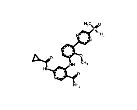 COc1c(Nc2cc(NC(=O)C3CC3)ncc2C(N)=O)cccc1-c1cnc(P(C)(C)=O)cn1